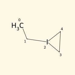 CCI1CC1